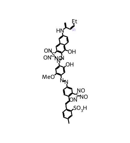 C=C(/C=C\CC)Nc1ccc2c(O)c(N=Nc3cc(OC)c(N=Nc4ccc(C=Cc5ccc(C)cc5S(=O)(=O)O)c(S(N=O)(N=O)N=O)c4)cc3O)c(S(N=O)(N=O)N=O)cc2c1